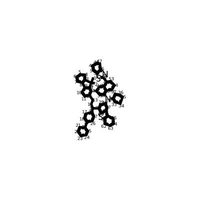 CC1(C)c2ccccc2-c2ccc(CCC(c3ccc(-c4ccccc4)cc3)c3cc(N(c4ccccc4)c4cccc5c(-c6nc7ccccc7s6)cccc45)cc4c3sc3ccccc34)cc21